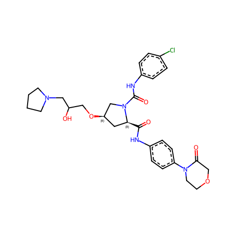 O=C(Nc1ccc(N2CCOCC2=O)cc1)[C@H]1C[C@@H](OCC(O)CN2CCCC2)CN1C(=O)Nc1ccc(Cl)cc1